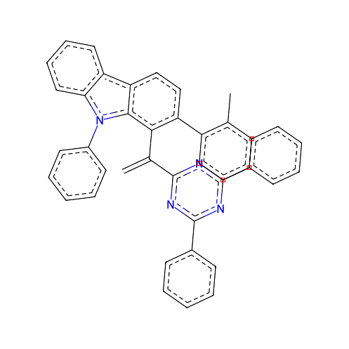 C=C(c1nc(-c2ccccc2)nc(-c2ccccc2)n1)c1c(-c2ccccc2C)ccc2c3ccccc3n(-c3ccccc3)c12